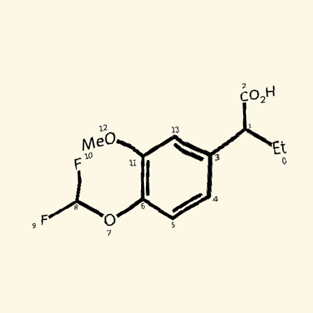 CCC(C(=O)O)c1ccc(OC(F)F)c(OC)c1